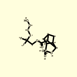 O=C(OCC(F)(F)SOOO)C1C2CC3C1OS(=O)(=O)C3C2